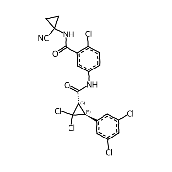 N#CC1(NC(=O)c2cc(NC(=O)[C@@H]3[C@@H](c4cc(Cl)cc(Cl)c4)C3(Cl)Cl)ccc2Cl)CC1